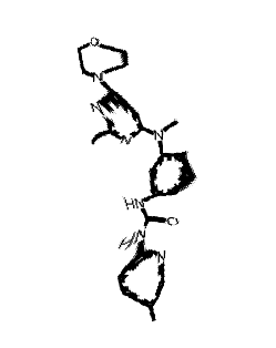 Cc1ccc(NC(=O)Nc2cccc(N(C)c3cc(N4CCOCC4)nc(C)n3)c2)nc1